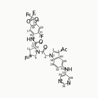 CC(=O)c1cn(CC(=O)N2C[C@H](F)C[C@H]2C(=O)Nc2cc3c(cc2F)OC(F)(F)O3)c2ccc(Nc3cncnc3)cc12